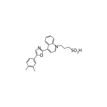 Cc1ccc(-c2cnc(-c3cc[n+](CCCS(=O)(=O)O)c4ccccc34)o2)cc1C